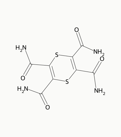 NC(=O)C1=C(C(N)=O)SC(C(N)=O)=C(C(N)=O)S1